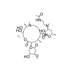 CC[C@H]1OC(=O)[C@H](C)[C@@H](O[C@H]2C[C@@](C)(OC)[C@@H](O)[C@H](C)O2)[C@H](C)[C@@H](O[C@@H]2O[C@H](C)C[C@H](N(C)CCNC(C)=O)[C@H]2O)[C@](C)(O)C[C@@H](C)CN(C)[C@H](C)[C@@H](O)[C@]1(C)O